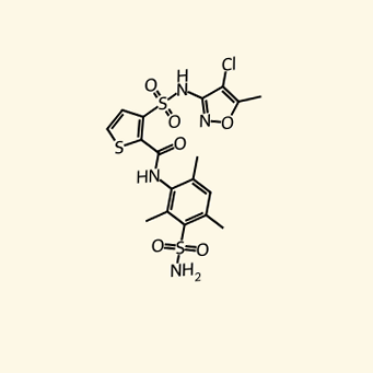 Cc1cc(C)c(S(N)(=O)=O)c(C)c1NC(=O)c1sccc1S(=O)(=O)Nc1noc(C)c1Cl